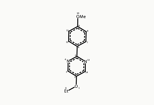 CCOc1cnc(-c2ccc(OC)cc2)nc1